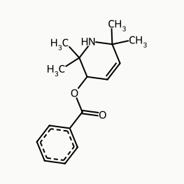 CC1(C)C=CC(OC(=O)c2ccccc2)C(C)(C)N1